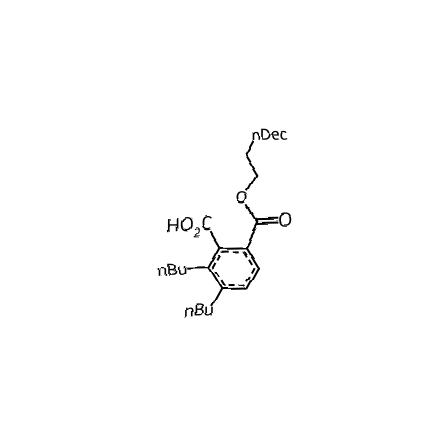 CCCCCCCCCCCCOC(=O)c1ccc(CCCC)c(CCCC)c1C(=O)O